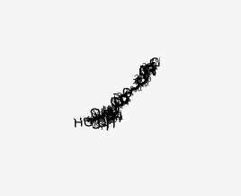 O=C(Cc1ccc(OCCCC2CCN(c3ncc(Cl)cn3)CC2)cc1F)N1C[C@H]2CCN(C[C@H](O)[C@H](O)[C@H](O)CO)[C@H]2C1